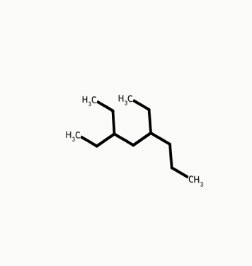 CCCC(CC)CC(CC)CC